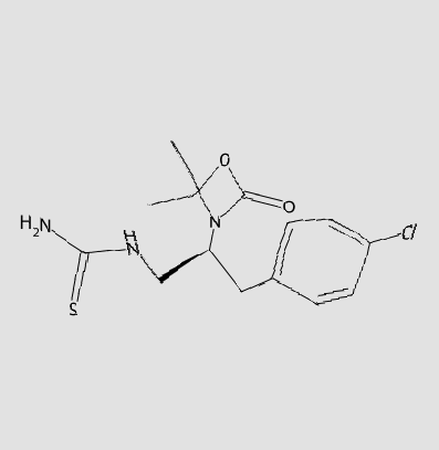 CC1(C)OC(=O)N1[C@H](CNC(N)=S)Cc1ccc(Cl)cc1